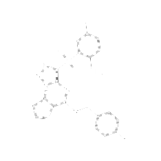 Cc1ccc(C)c(S(=O)(=O)c2nnn3c2nc(NCc2ccc(F)cc2)c2sccc23)c1